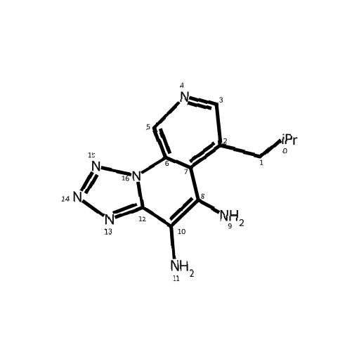 CC(C)Cc1cncc2c1c(N)c(N)c1nnnn12